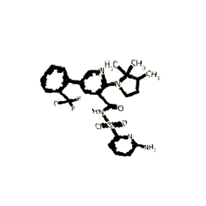 CC1CCN(c2ncc(-c3ccccc3C(F)(F)F)cc2C(=O)NS(=O)(=O)c2cccc(N)n2)C1(C)C